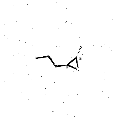 CCC[C@@H]1O[C@H]1C